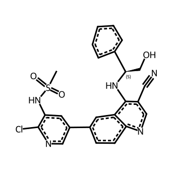 CS(=O)(=O)Nc1cc(-c2ccc3ncc(C#N)c(N[C@H](CO)c4ccccc4)c3c2)cnc1Cl